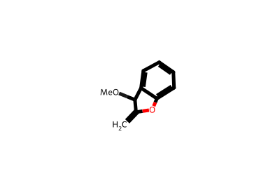 C=C1Oc2ccccc2C1OC